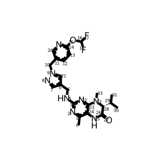 Cc1nc(NCc2cnn(Cc3ccc(OC(F)F)nc3)c2)nc2c1NC(=O)[C@@H](C(C)C)N2C